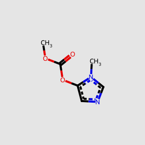 COC(=O)Oc1cncn1C